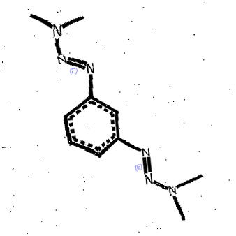 CN(C)/N=N/c1cccc(/N=N/N(C)C)c1